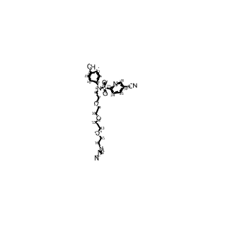 [CH2]c1ccc(N(CCOCCOCCOCCN=[N+]=[N-])S(=O)(=O)c2ccc(C#N)cn2)cc1